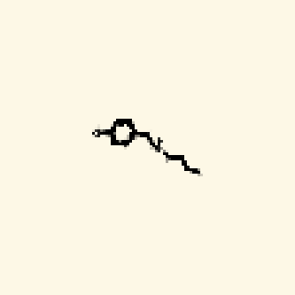 CCCCNCCc1ccc(Cl)cc1